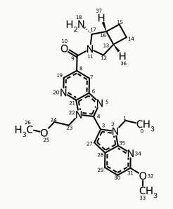 CCn1c(-c2nc3cc(C(=O)N4C[C@H]5CC[C@H]5[C@H]4N)cnc3n2CCOC)cc2ccc(OC)nc21